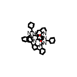 c1ccc(-c2nc(-c3ccccc3)nc(-c3ccccc3-n3c4ccccc4c4ccc5c6ccccc6n(-c6nc(-c7ccccc7)nc(-c7cccc8cccnc78)n6)c5c43)n2)cc1